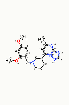 COc1ccc(CN2CCCC(c3cc(C)nc4ncnn34)C2)c(OC)c1